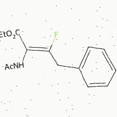 CCOC(=O)C(NC(C)=O)=C(F)Cc1ccccc1